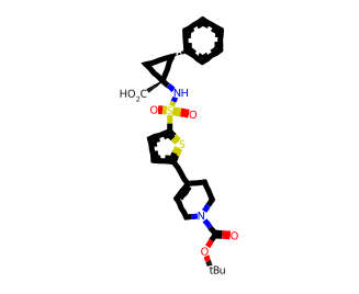 CC(C)(C)OC(=O)N1CC=C(c2ccc(S(=O)(=O)N[C@]3(C(=O)O)C[C@@H]3c3ccccc3)s2)CC1